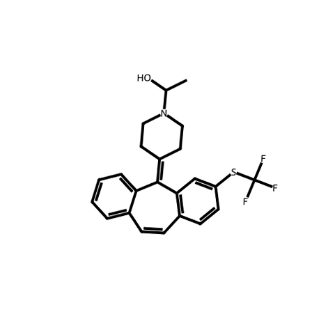 CC(O)N1CCC(=C2c3ccccc3C=Cc3ccc(SC(F)(F)F)cc32)CC1